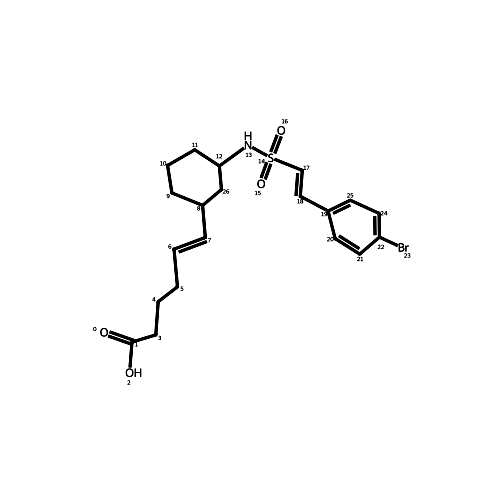 O=C(O)CCCC=CC1CCCC(NS(=O)(=O)C=Cc2ccc(Br)cc2)C1